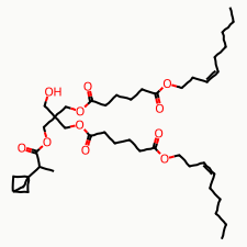 CCCCC/C=C\CCOC(=O)CCCCC(=O)OCC(CO)(COC(=O)CCCCC(=O)OCC/C=C\CCCCC)COC(=O)C(C)C12CC(C1)C2